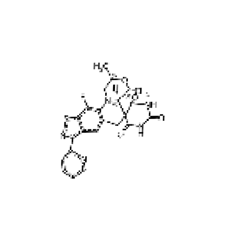 C[C@H]1CN2c3c(cc4c(-c5ccccn5)nsc4c3F)CC3(C(=O)NC(=O)NC3=O)[C@@H]2[C@@H](C)O1